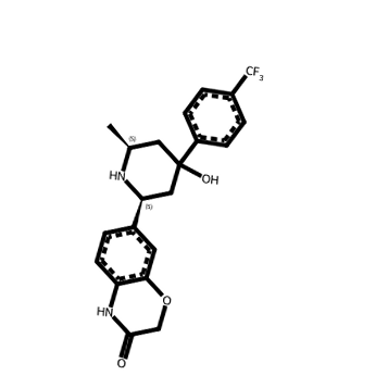 C[C@H]1CC(O)(c2ccc(C(F)(F)F)cc2)C[C@@H](c2ccc3c(c2)OCC(=O)N3)N1